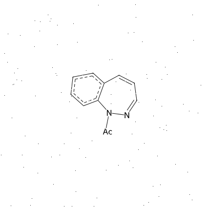 CC(=O)N1N=CC=Cc2ccccc21